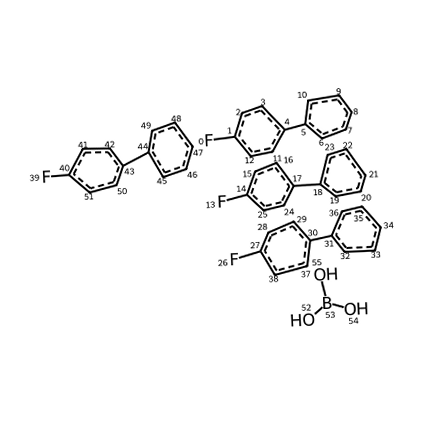 Fc1ccc(-c2ccccc2)cc1.Fc1ccc(-c2ccccc2)cc1.Fc1ccc(-c2ccccc2)cc1.Fc1ccc(-c2ccccc2)cc1.OB(O)O